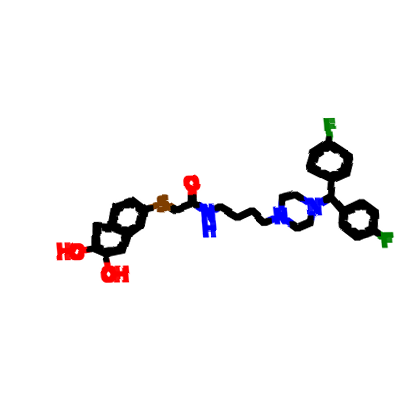 O=C(CSc1ccc2cc(O)c(O)cc2c1)NCCCCN1CCN(C(c2ccc(F)cc2)c2ccc(F)cc2)CC1